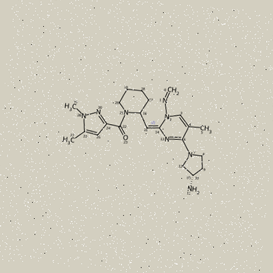 C=NN1C=C(C)C(N2CC[C@H](N)C2)=N/C1=C/C1CCCCN1C(=O)c1cc(C)n(C)n1